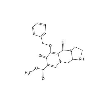 COC(=O)c1cn2c(c(OCc3ccccc3)c1=O)C(=O)N1CCNC1C2